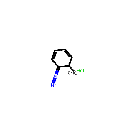 Cl.[N-]=[N+]=C1C=CC=CC1C=O